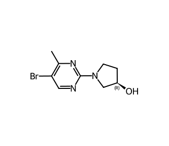 Cc1nc(N2CC[C@@H](O)C2)ncc1Br